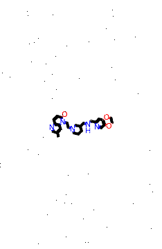 Cc1cnc2ccc(=O)n(CCN3CCCC(CNCc4cc5c(cn4)OCCO5)C3)c2c1